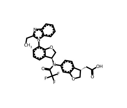 CCc1nc2ccccc2n1-c1cccc2c1OC[C@H]2N(C(=O)C(F)(F)F)c1ccc2c(c1)OC[C@H]2CC(=O)O